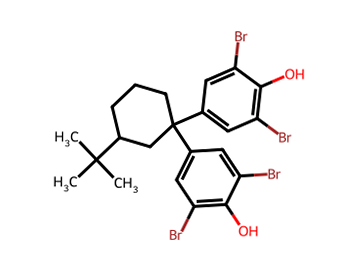 CC(C)(C)C1CCCC(c2cc(Br)c(O)c(Br)c2)(c2cc(Br)c(O)c(Br)c2)C1